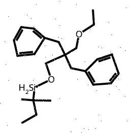 CCOCC(CO[SiH2]C(C)(C)CC)(Cc1ccccc1)Cc1ccccc1